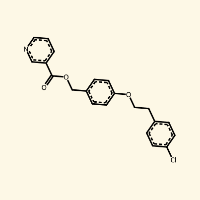 O=C(OCc1ccc(OCCc2ccc(Cl)cc2)cc1)c1cccnc1